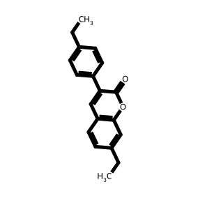 CCc1ccc(-c2cc3ccc(CC)cc3oc2=O)cc1